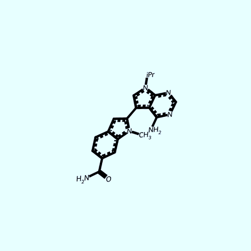 CC(C)n1cc(-c2cc3ccc(C(N)=O)cc3n2C)c2c(N)ncnc21